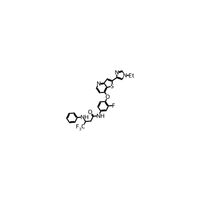 CCn1cnc(-c2cc3nccc(Oc4ccc(NC(=O)CC(Nc5ccccc5)C(F)(F)F)cc4F)c3s2)c1